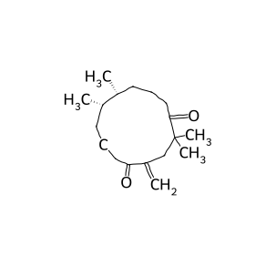 C=C1CC(C)(C)C(=O)CCC[C@@H](C)[C@@H](C)CCCC1=O